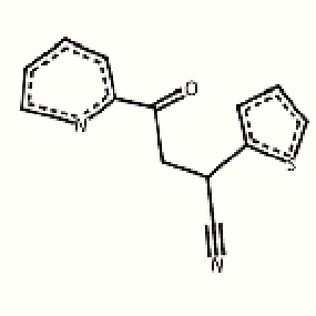 N#CC(CC(=O)c1ccccn1)c1cccs1